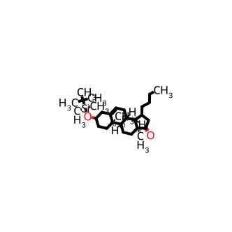 CCCCC1CC(=O)[C@@]2(C)CC[C@@H]3[C@@H](CC=C4CC(O[Si](C)(C)C(C)(C)C)CC[C@@]43C)[C@H]12